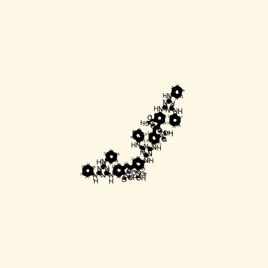 O=S(=O)(O)c1cc(Nc2nc(Nc3ccccc3)nc(Nc3ccccc3)n2)ccc1C=Cc1ccc(Nc2nc(Nc3ccccc3)nc(Nc3ccc(C=Cc4ccc(Nc5nc(Nc6ccccc6)nc(Nc6ccccc6)n5)cc4S(=O)(=O)O)c(S(=O)(=O)O)c3)n2)cc1S(=O)(=O)O